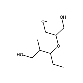 CCC(OC(CO)CO)C(C)CO